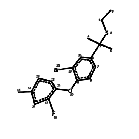 CCSC(C)(C)c1ccc(Oc2ccc(C)cc2F)c(Br)c1